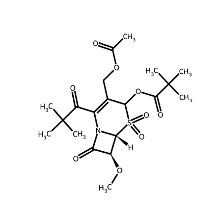 CO[C@H]1C(=O)N2C(C(=O)C(C)(C)C)=C(COC(C)=O)C(OC(=O)C(C)(C)C)S(=O)(=O)[C@H]12